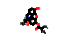 CC(C)C(=O)OC1=CC[C@@]2(O)[C@H]3Cc4ccc(O)c5c4C2(CCN3C)C1O5